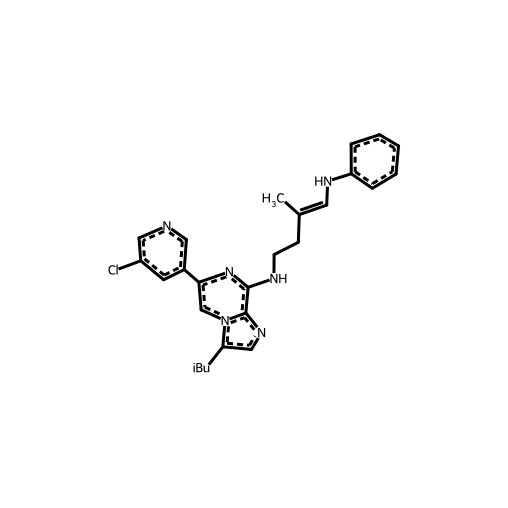 CCC(C)c1cnc2c(NCC/C(C)=C/Nc3ccccc3)nc(-c3cncc(Cl)c3)cn12